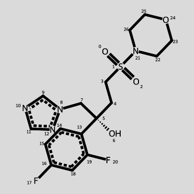 O=S(=O)(CC[C@](O)(Cn1cncn1)c1ccc(F)cc1F)N1CCOCC1